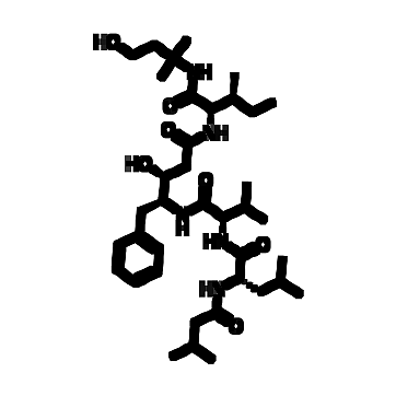 CC[C@H](C)[C@H](NC(=O)C[C@H](O)[C@H](Cc1ccccc1)NC(=O)[C@@H](NC(=O)[C@H](CC(C)C)NC(=O)CC(C)C)C(C)C)C(=O)NC(C)(C)CCO